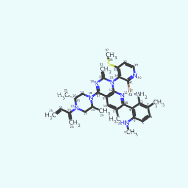 Bc1c(C)ccc(NC)c1-c1nc2c(cc1C)C(N1C[C@@H](C)N(C(=C)C=C)CC1C)=NC(=C)N2c1c(SC)ccnc1Br